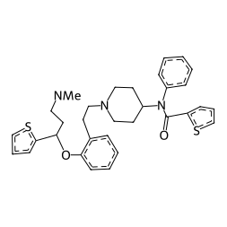 CNCCC(Oc1ccccc1CCN1CCC(N(C(=O)c2cccs2)c2ccccc2)CC1)c1cccs1